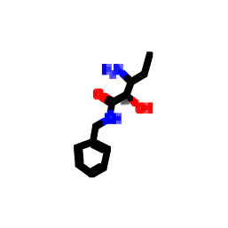 CCC(N)[C@@H](O)C(=O)NCc1ccccc1